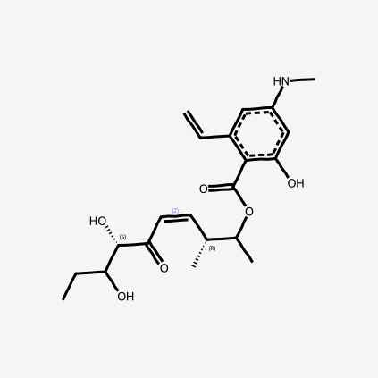 C=Cc1cc(NC)cc(O)c1C(=O)OC(C)[C@H](C)/C=C\C(=O)[C@@H](O)C(O)CC